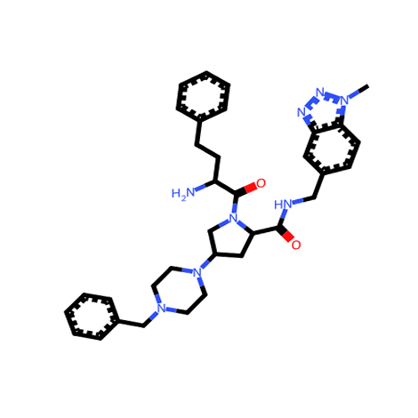 Cn1nnc2cc(CNC(=O)C3CC(N4CCN(Cc5ccccc5)CC4)CN3C(=O)C(N)CCc3ccccc3)ccc21